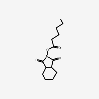 CCCCCC(=O)ON1C(=O)C2CCCCC2C1=O